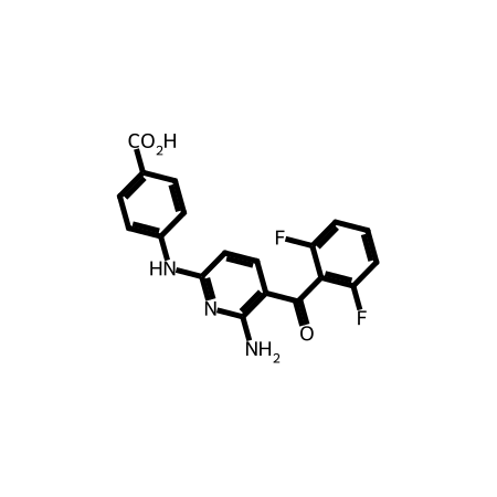 Nc1nc(Nc2ccc(C(=O)O)cc2)ccc1C(=O)c1c(F)cccc1F